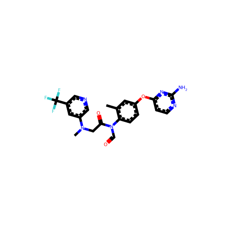 Cc1cc(Oc2ccnc(N)n2)ccc1N(C=O)C(=O)CN(C)c1cncc(C(F)(F)F)c1